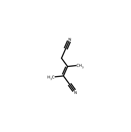 C/C(C#N)=C(/C)CC#N